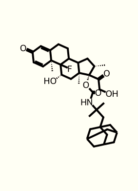 C[C@H]1CC2C3CCC4=CC(=O)C=C[C@]4(C)C3(F)[C@@H](O)C[C@]2(C)[C@]1(OC(=O)NC(C)(C)CC12CC3CC(CC(C3)C1)C2)C(=O)CO